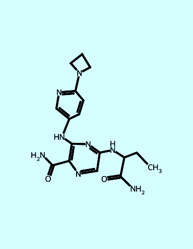 CCC(Nc1cnc(C(N)=O)c(Nc2ccc(N3CCC3)nc2)n1)C(N)=O